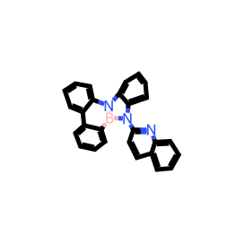 c1ccc2c(c1)B1N(c3ccc4ccccc4n3)c3ccccc3N1c1ccccc1-2